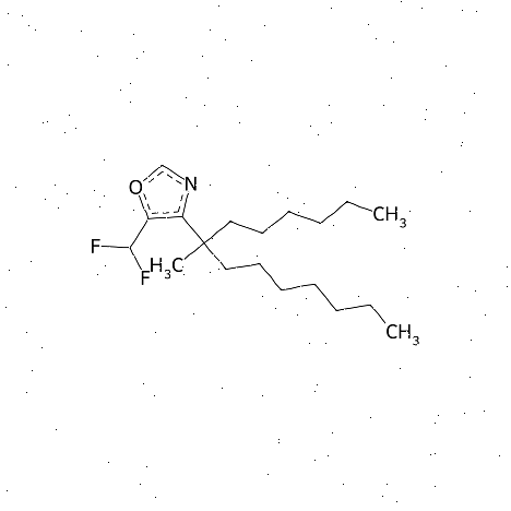 CCCCCCCC(C)(CCCCCC)c1ncoc1C(F)F